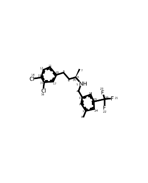 Cc1cc(CN[C@H](C)CCc2ccc(Cl)c(Cl)c2)cc(C(F)(F)F)c1